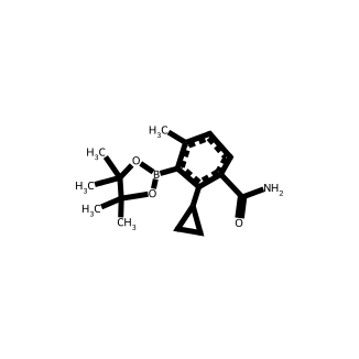 Cc1ccc(C(N)=O)c(C2CC2)c1B1OC(C)(C)C(C)(C)O1